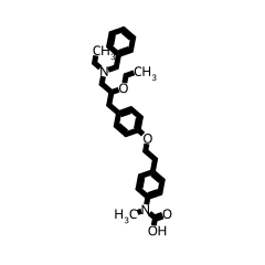 CCOC(Cc1ccc(OCCc2ccc(N(C)C(=O)O)cc2)cc1)CN(CC)Cc1ccccc1